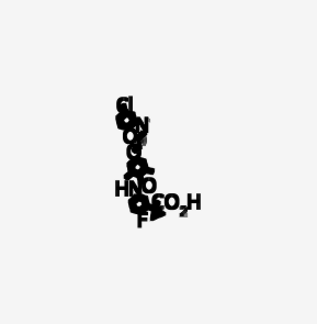 Cc1cc(OC[C@@H]2CN(C)c3cc(Cl)ccc3O2)cc(C)c1C(=O)Nc1ccc(F)c(C2(C(=O)O)CC2)c1